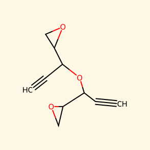 C#CC(OC(C#C)C1CO1)C1CO1